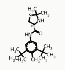 Cc1c(C(C)(C)C)cc(NC(=O)[C@@H]2CSC(C)(C)N2)cc1C(C)(C)C